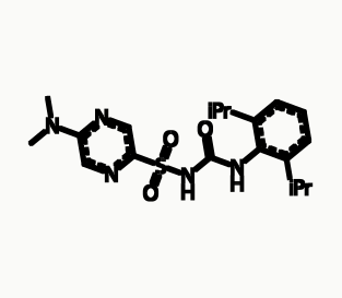 CC(C)c1cccc(C(C)C)c1NC(=O)NS(=O)(=O)c1cnc(N(C)C)cn1